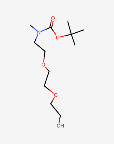 CN(CCOCCOCCO)C(=O)OC(C)(C)C